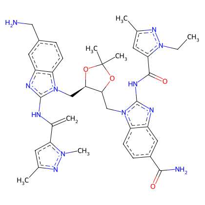 C=C(Nc1nc2cc(CN)ccc2n1C[C@H]1OC(C)(C)OC1Cn1c(NC(=O)c2cc(C)nn2CC)nc2cc(C(N)=O)ccc21)c1cc(C)nn1C